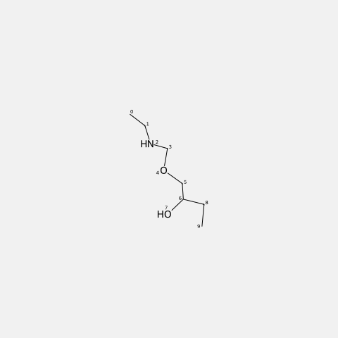 CCNCOCC(O)CC